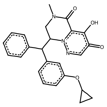 CN1CC(C(c2ccccc2)c2cccc(OC3CC3)c2)n2ncc(=O)c(O)c2C1=O